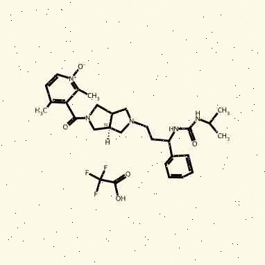 Cc1cc[n+]([O-])c(C)c1C(=O)N1CC2CN(CCC(NC(=O)NC(C)C)c3ccccc3)C[C@H]2C1.O=C(O)C(F)(F)F